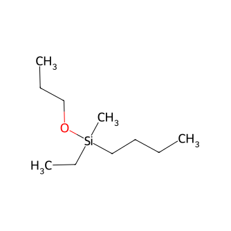 CCCC[Si](C)(CC)OCCC